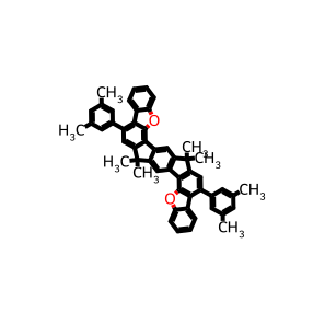 Cc1cc(C)cc(-c2cc3c(c4oc5ccccc5c24)-c2cc4c(cc2C3(C)C)-c2c(cc(-c3cc(C)cc(C)c3)c3c2oc2ccccc23)C4(C)C)c1